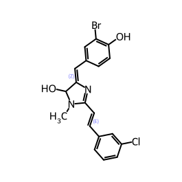 CN1C(/C=C/c2cccc(Cl)c2)=NC(=C\c2ccc(O)c(Br)c2)/C1O